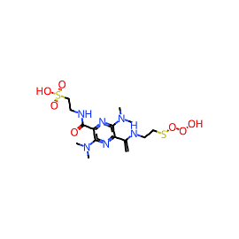 C=C(NCCSOOO)c1nc(N(C)C)c(C(=O)NCCS(=O)(=O)O)nc1N(C)C